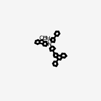 CC1(C)c2ccccc2-c2ccc(N(c3ccc(-c4ccccc4)cc3)c3ccc(-c4ccc5c(-c6ccccc6)cc6ccccc6c5c4)cc3)cc21